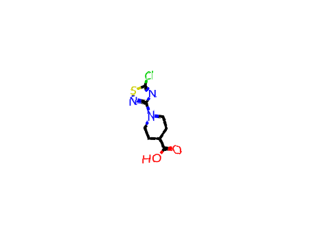 O=C(O)C1CCN(c2nsc(Cl)n2)CC1